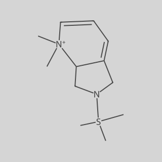 C[N+]1(C)C=CC=C2CN(S(C)(C)C)CC21